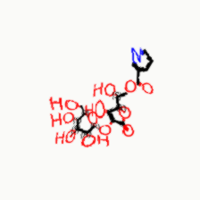 O=C1O[C@H]([C@@H](O)COC(=O)c2cccnc2)C(O)=C1O[C@H]1O[C@H](CO)[C@@H](O)[C@H](O)[C@H]1O